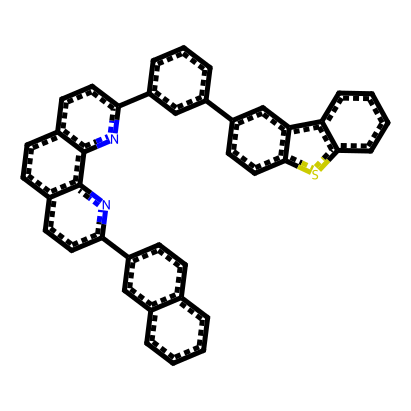 c1cc(-c2ccc3sc4ccccc4c3c2)cc(-c2ccc3ccc4ccc(-c5ccc6ccccc6c5)nc4c3n2)c1